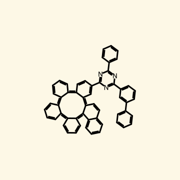 c1ccc(-c2cccc(-c3nc(-c4ccccc4)nc(-c4ccc5c6ccccc6c6ccccc6c6ccccc6c6c7ccccc7ccc6c5c4)n3)c2)cc1